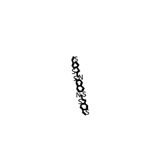 c1cc2cc3sc(-c4nc5cc6cc7sc(-c8cc9cc%10sccc%10cc9s8)nc7cc6cc5s4)cc3cc2s1